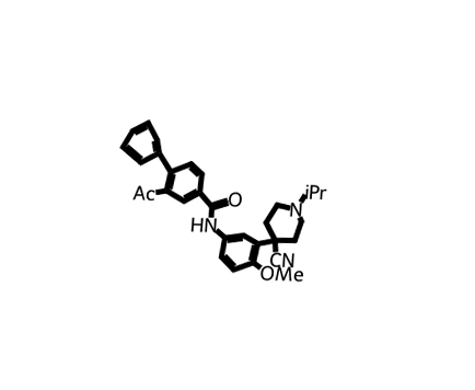 COc1ccc(NC(=O)c2ccc(-c3ccccc3)c(C(C)=O)c2)cc1C1(C#N)CCN(C(C)C)CC1